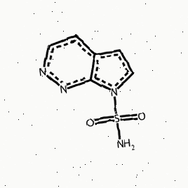 NS(=O)(=O)n1ccc2ccnnc21